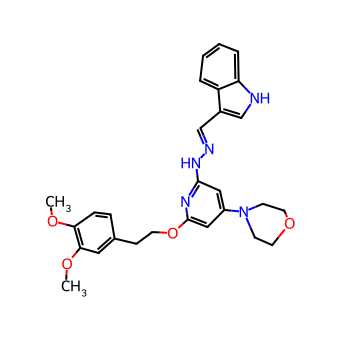 COc1ccc(CCOc2cc(N3CCOCC3)cc(N/N=C/c3c[nH]c4ccccc34)n2)cc1OC